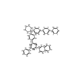 c1ccc(-c2ccc(-c3ccc(C4(c5ccc(-c6nc(-c7ccccc7)nc(-c7ccc8ccccc8c7)n6)cc5)CCCCC4)cc3)cc2)cc1